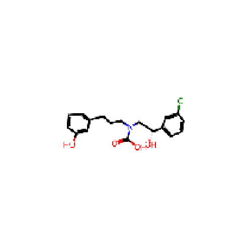 O=C(O)N(CCCc1cccc(O)c1)C[C@@H](O)c1cccc(Cl)c1